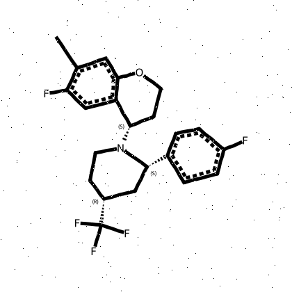 Cc1cc2c(cc1F)[C@@H](N1CC[C@@H](C(F)(F)F)C[C@H]1c1ccc(F)cc1)CCO2